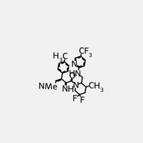 CN/C=C(\C(=N)C(=O)N1CC(F)(F)CC(C)C1CNc1ccc(C(F)(F)F)cn1)c1ccc(C)cc1